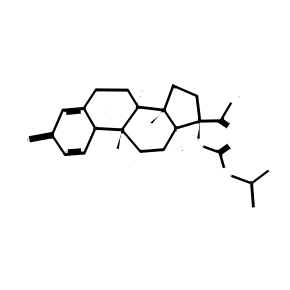 CC(C)OC(=O)O[C@]1(C(=O)O)CC[C@H]2[C@@H]3CCC4=CC(=O)C=C[C@]4(C)[C@H]3[C@@H](O)C[C@@]21C